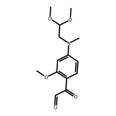 COc1cc(N(C)CC(OC)OC)ccc1C(=O)C=O